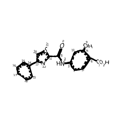 O=C(Nc1ccc(C(=O)O)c(O)c1)c1nc(-c2ccccc2)cs1